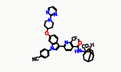 N#Cc1ccc(-n2cc(-c3ccc(C(=O)NC4(C(=O)O)C5CCC6CC(C5)CC4C6)c(C(F)(F)F)n3)c3ccc(OC4CCN(c5ncccn5)CC4)cc32)cc1